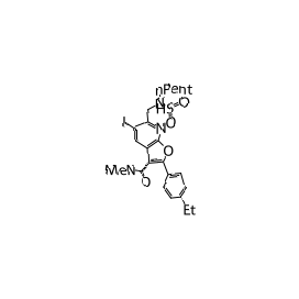 [CH2]CCCCN(Cc1nc2oc(-c3ccc(CC)cc3)c(C(=O)NC)c2cc1I)[SH](=O)=O